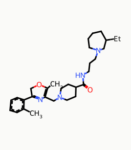 CCC1CCCCN(CCCNC(=O)C2CCN(CC3=C(C)OCC(c4ccccc4C)=N3)CC2)C1